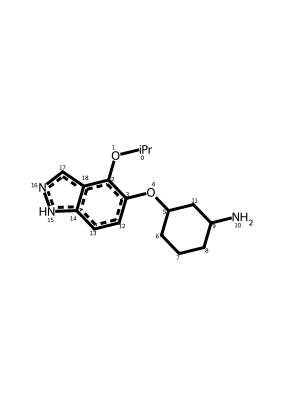 CC(C)Oc1c(OC2CCCC(N)C2)ccc2[nH]ncc12